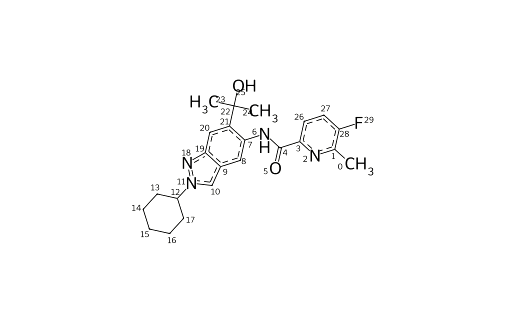 Cc1nc(C(=O)Nc2cc3cn(C4CCCCC4)nc3cc2C(C)(C)O)ccc1F